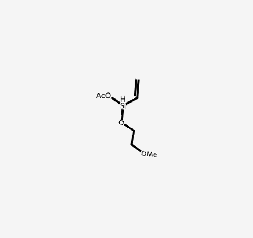 C=C[SiH](OCCOC)OC(C)=O